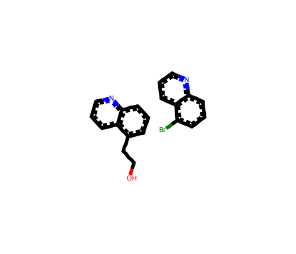 Brc1cccc2ncccc12.OCCc1cccc2ncccc12